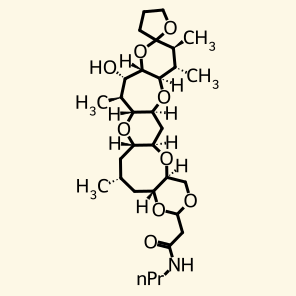 CCCNC(=O)CC1OC[C@@H]2O[C@@H]3C[C@@H]4O[C@@H]5[C@@H](C)[C@H](C)C6(CCCO6)O[C@H]5[C@@H](O)[C@H](C)[C@H]4O[C@H]3C[C@@H](C)C[C@H]2O1